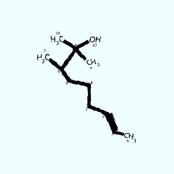 C/C=C/CCCC(C)C(C)(C)O